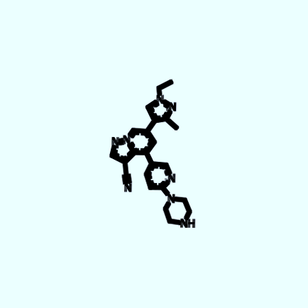 CCn1cc(-c2cc(-c3ccc(N4CCNCC4)nc3)c3c(C#N)cnn3c2)c(C)n1